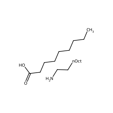 CCCCCCCCC(=O)O.CCCCCCCCCCN